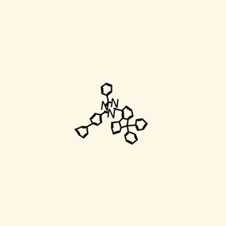 C1=CC2c3c(-c4nc(-c5ccccc5)nc(-c5ccc(-c6ccccc6)cc5)n4)cccc3C(c3ccccc3)(c3ccccc3)C2C=C1